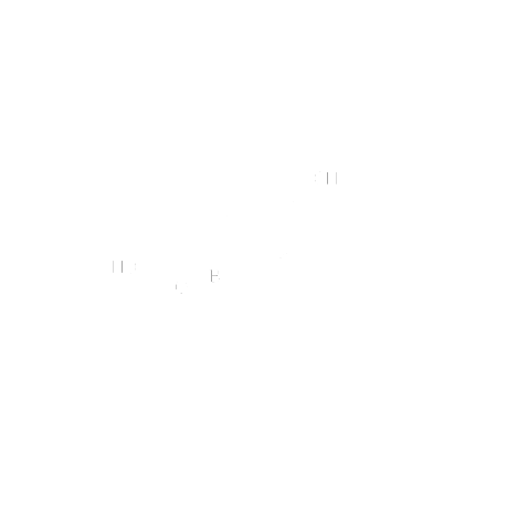 Cc1ccc([B-]2(c3ccccc3)C(c3ccc4ccccc4c3)=CC[O+]2C)cc1